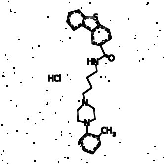 Cc1ccccc1N1CCN(CCCCNC(=O)c2ccc3sc4ccccc4c3c2)CC1.Cl